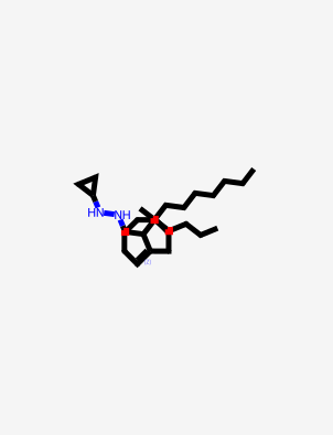 CCCCCCCC(C)(CCCC)C(CNNC1CC1)/C1=C\CCCCCC1